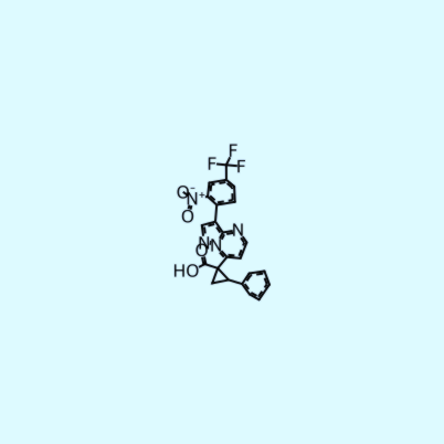 O=C(O)C1(c2ccnc3c(-c4ccc(C(F)(F)F)cc4[N+](=O)[O-])cnn23)CC1c1ccccc1